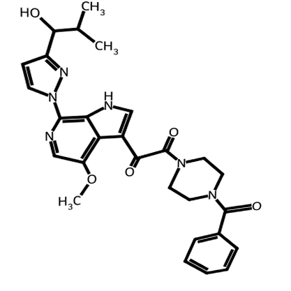 COc1cnc(-n2ccc(C(O)C(C)C)n2)c2[nH]cc(C(=O)C(=O)N3CCN(C(=O)c4ccccc4)CC3)c12